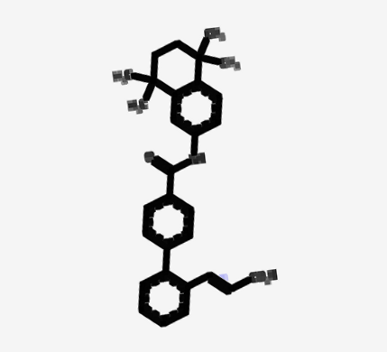 CC1(C)CCC(C)(C)c2cc(NC(=O)c3ccc(-c4ccccc4/C=C/C(=O)O)cc3)ccc21